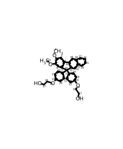 COc1cc2c(cc1OC)C(c1ccc(OCCO)cc1)(c1ccc(OCCO)cc1)c1cc3ccccc3cc1-2